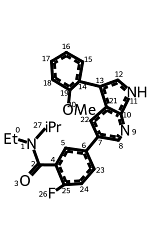 CCN(C(=O)c1cc(-c2cnc3[nH]cc(-c4ccccc4OC)c3c2)ccc1F)C(C)C